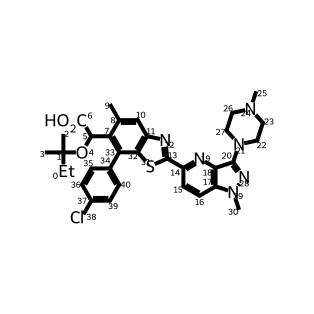 CCC(C)(C)OC(C(=O)O)c1c(C)cc2nc(-c3ccc4c(n3)c(N3CCN(C)CC3)nn4C)sc2c1-c1ccc(Cl)cc1